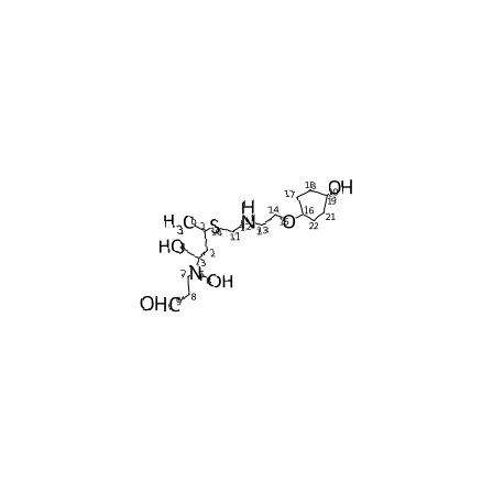 CC(CC(O)N(O)CCC=O)SCNCCOC1CCC(O)CC1